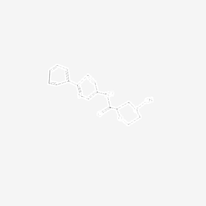 N#CN1CCOC(C(=O)Nc2ccc(-c3ccccc3)nc2)C1